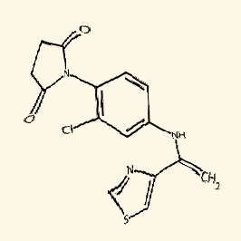 C=C(Nc1ccc(N2C(=O)CCC2=O)c(Cl)c1)c1cscn1